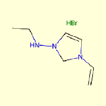 Br.C=CN1C=CN(NCC)C1